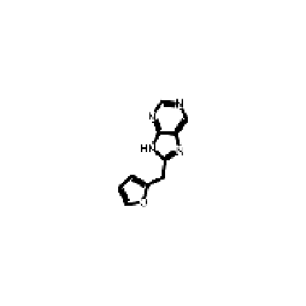 c1coc(Cc2nc3cncnc3[nH]2)c1